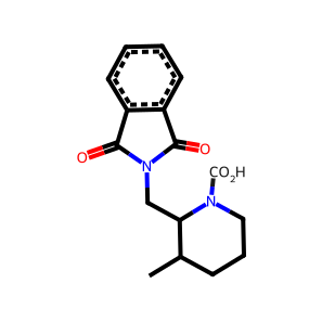 CC1CCCN(C(=O)O)C1CN1C(=O)c2ccccc2C1=O